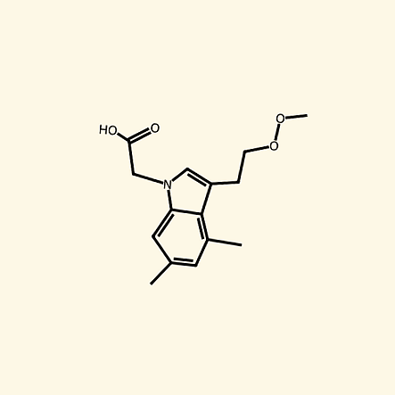 COOCCc1cn(CC(=O)O)c2cc(C)cc(C)c12